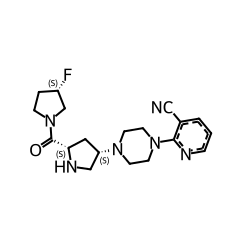 N#Cc1cccnc1N1CCN([C@@H]2CN[C@H](C(=O)N3CC[C@H](F)C3)C2)CC1